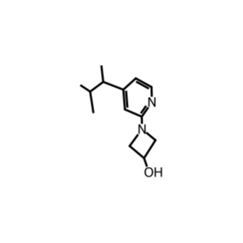 CC(C)C(C)c1ccnc(N2CC(O)C2)c1